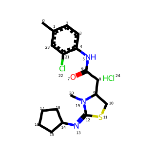 Cc1ccc(NC(=O)CC2CSC(=NC3CCCC3)N2C)c(Cl)c1.Cl